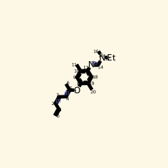 C=C/C=C\C=C(/C)Oc1cc(C)c(/N=C/N(C)CC)cc1C